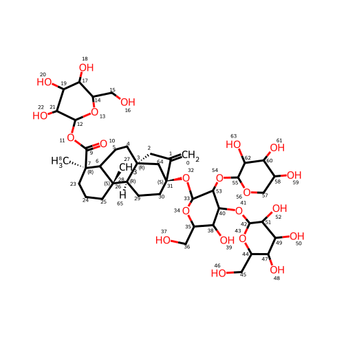 C=C1C[C@@]23CCC4[C@](C)(C(=O)OC5OC(CO)C(O)C(O)C5O)CCC[C@@]4(C)[C@@H]2CC[C@]1(OC1OC(CO)C(O)C(OC2OC(CO)C(O)C(O)C2O)C1OC1OCC(O)C(O)C1O)C3